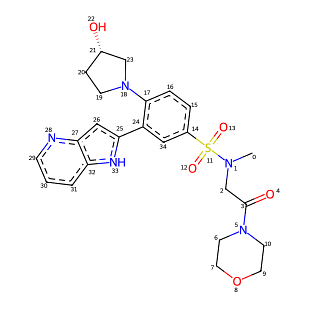 CN(CC(=O)N1CCOCC1)S(=O)(=O)c1ccc(N2CC[C@H](O)C2)c(-c2cc3ncccc3[nH]2)c1